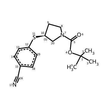 CC(C)(C)OC(=O)N1CC[C@H](Sc2ccc(C#N)cc2)C1